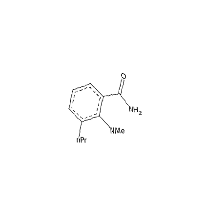 CCCc1cccc(C(N)=O)c1NC